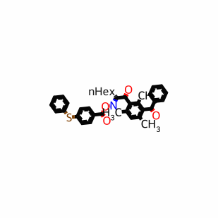 CCCCCC/C(=N\OC(=O)c1ccc(Sc2ccccc2)cc1)C(=O)c1c(C)cc(C)c(C(=O)c2ccccc2)c1C